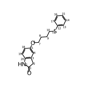 O=C1Cc2cc(OCCCCSc3ccccc3)ccc2N1